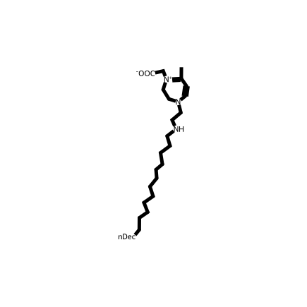 CCCCCCCCCCCCCCCCCCCCCCNCCN1C#CC(C)=[N+](CC(=O)[O-])CC1